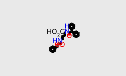 O=C(NCCC[C@@H](NC(=O)C(c1ccccc1)c1ccccc1)C(=O)O)OCc1ccccc1